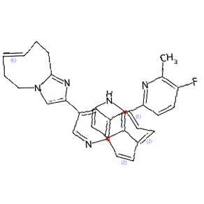 Cc1nc(C2=C(C3=C\C=C\c4cc(-c5cn6c(n5)CC/C=C/CC6)cnc4/C=C\3)CC=CN2)ccc1F